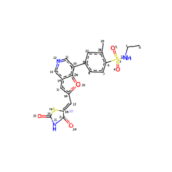 CCNS(=O)(=O)c1ccc(-c2cncc3cc(/C=C4\SC(=O)NC4=O)oc23)cc1C